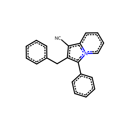 N#Cc1c(Cc2ccccc2)c(-c2ccccc2)n2ccccc12